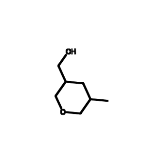 CC1COCC(CO)C1